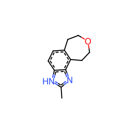 Cc1nc2c3c(ccc2[nH]1)CCOCC3